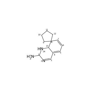 NC1N=CC2=CC=CC3(CCCC3)C2N1